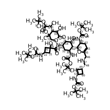 CN(C(=O)OC(C)(C)C)[C@@H]1[C@@H](O)[C@@H](O[C@H]2[C@H](NC(=O)C3(O)CC(NC(=O)OC(C)(C)C)C3)C[C@H](NC(=O)OC(C)(C)C)C([C@H]3OC(CNC[C@H]4C[C@H](NC(=O)OC(C)(C)C)C4)=CC[C@H]3NC(=O)OC(C)(C)C)[C@@H]2O)OC[C@]1(C)O